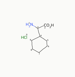 Cl.NC(C(=O)O)C1CCCCC1